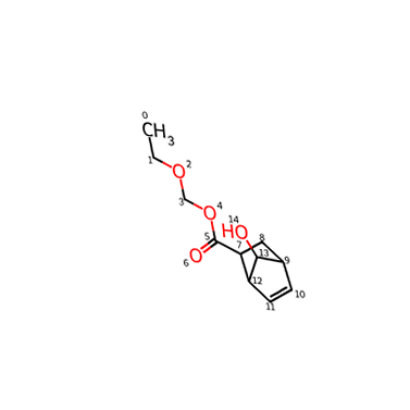 CCOCOC(=O)C1CC2C=CC1C2O